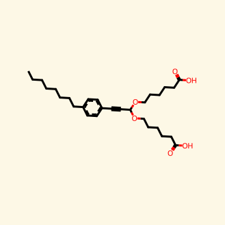 CCCCCCCCc1ccc(C#CC(OCCCCCC(=O)O)OCCCCCC(=O)O)cc1